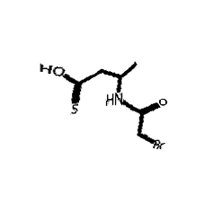 CC(CC(O)=S)NC(=O)CBr